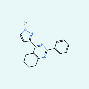 CCn1ccc(-c2nc(-c3ccccc3)nc3c2CCCC3)n1